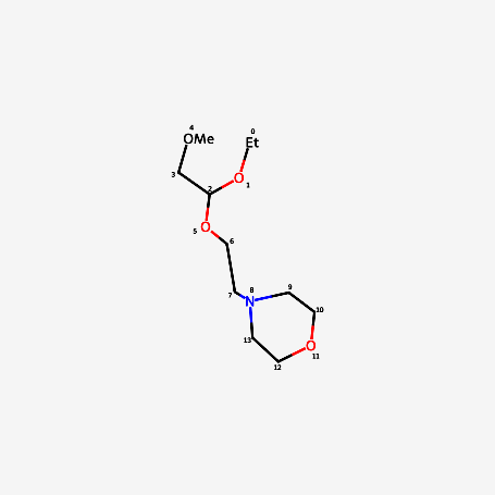 CCOC(COC)OCCN1CCOCC1